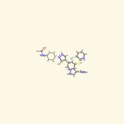 CC(=O)N[C@H]1CC[C@H](n2ncc(-c3cc(Sc4ncccc4F)c4c(C#N)cnn4c3)c2C)CC1